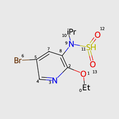 [CH2]COc1ncc(Br)cc1N(C(C)C)[SH](=O)=O